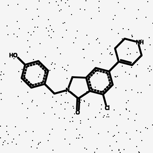 O=C1c2c(Cl)cc(C3=CCNCC3)cc2CN1Cc1ccc(O)cc1